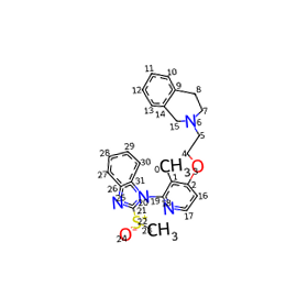 Cc1c(OCCN2CCc3ccccc3C2)ccnc1-n1c([S+](C)[O-])nc2ccccc21